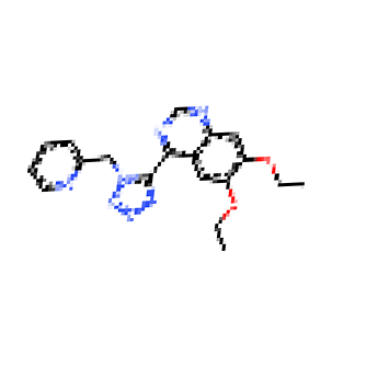 CCOc1cc2ncnc(-c3nnnn3Cc3ccccn3)c2cc1OCC